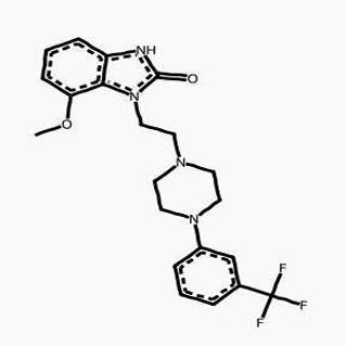 COc1cccc2[nH]c(=O)n(CCN3CCN(c4cccc(C(F)(F)F)c4)CC3)c12